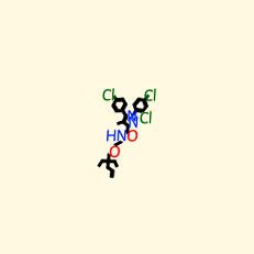 C=CCC(CC)(CC)COCCNC(=O)c1nn(-c2ccc(Cl)cc2Cl)c(-c2ccc(Cl)cc2)c1C